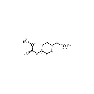 CCOC(=O)CC1CCN(CC(=O)OC(C)(C)C)CC1